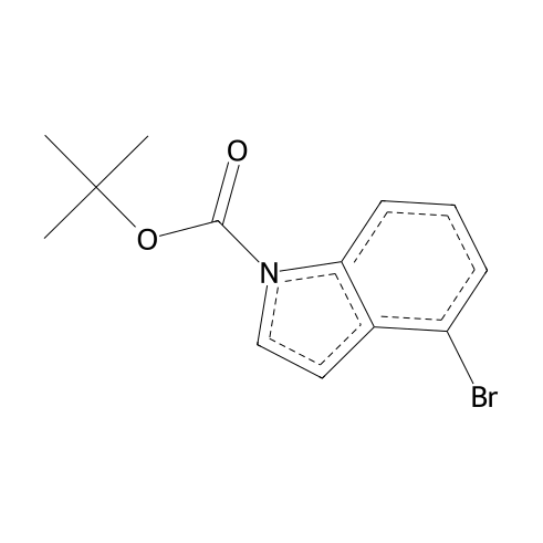 CC(C)(C)OC(=O)n1ccc2c(Br)cccc21